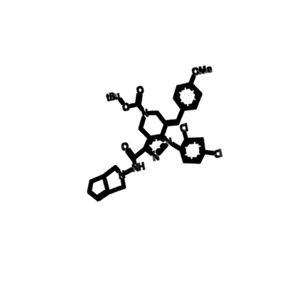 COc1ccc(C=C2CN(C(=O)OC(C)(C)C)Cc3c(C(=O)NN4CC5=CCCC5C4)nn(-c4ccc(Cl)cc4Cl)c32)cc1